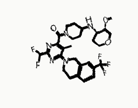 CO[C@H]1COCC[C@H]1NC1CCN(C(=O)c2nc(C(F)F)nc(N3CCc4ccc(C(F)(F)F)cc4C3)c2C)CC1